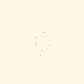 C=Cc1ccc(NC)cc1C